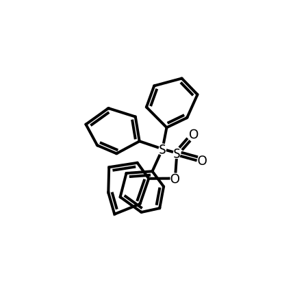 O=S(=O)(Oc1ccccc1)S(c1ccccc1)(c1ccccc1)c1ccccc1